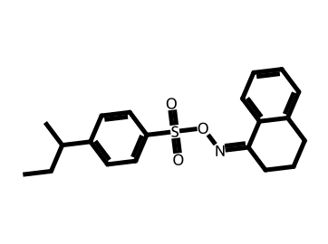 CCC(C)c1ccc(S(=O)(=O)O/N=C2/CCCc3ccccc32)cc1